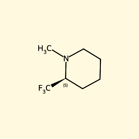 CN1CCCC[C@H]1C(F)(F)F